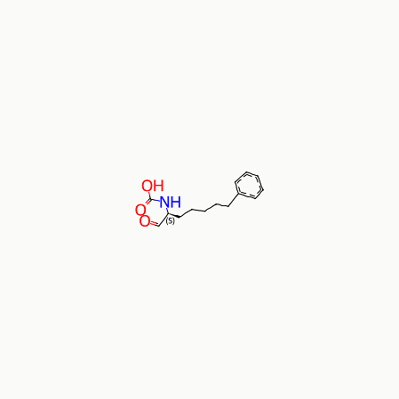 O=C[C@H](CCCCCc1ccccc1)NC(=O)O